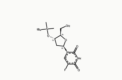 CC(C)(C)[Si](C)(C)O[C@H]1C[C@H](n2cc(F)c(=O)[nH]c2=O)O[C@@H]1CO